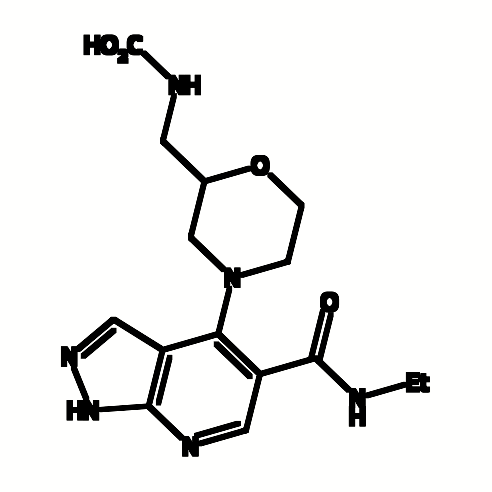 CCNC(=O)c1cnc2[nH]ncc2c1N1CCOC(CNC(=O)O)C1